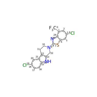 FC(F)(F)c1cc(Cl)cc2sc(N3CCc4c([nH]c5ccc(Cl)cc45)C3)nc12